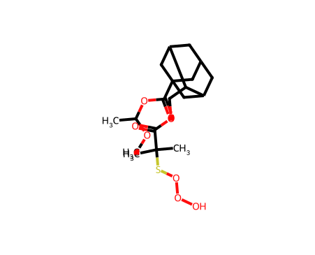 COC(C)OC(=O)C12CC3CC(C1)C(COC(=O)C(C)(C)SOOO)C(C3)C2